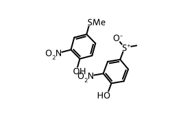 CSc1ccc(O)c([N+](=O)[O-])c1.C[S+]([O-])c1ccc(O)c([N+](=O)[O-])c1